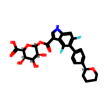 O=C(O[C@@H]1O[C@H](C(=O)O)[C@@H](O)[C@H](O)[C@H]1O)c1c[nH]c2cc(F)c(-c3ccc([C@@H]4CCCCO4)cc3)c(F)c12